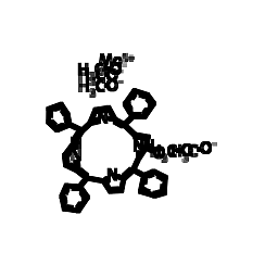 C[O-].C[O-].C[O-].C[O-].C[O-].O=C1C=C2NC1C(c1ccccc1)=C1C=CC(=N1)C(c1ccccc1)=c1ccc([nH]1)=C(c1ccccc1)C1=NC(=C2c2ccccc2)C=C1.[Mo+5]